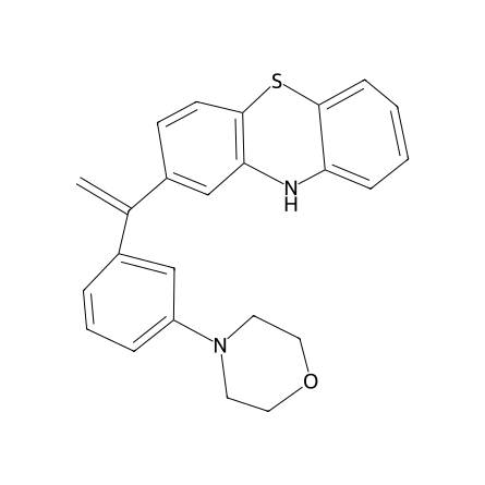 C=C(c1cccc(N2CCOCC2)c1)c1ccc2c(c1)Nc1ccccc1S2